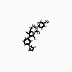 Cc1c(-c2cccc(N3CCC3)c2)c(C)n2c(=O)n(-c3ccc(Br)cn3)ncc12